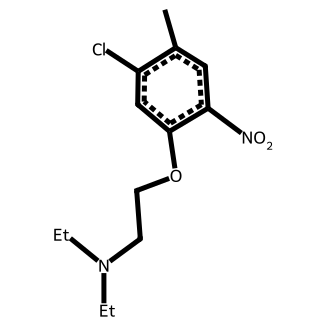 CCN(CC)CCOc1cc(Cl)c(C)cc1[N+](=O)[O-]